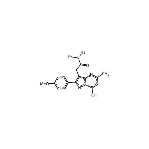 CCN(CC)C(=O)Cc1c(-c2ccc(O[11CH3])cc2)nn2c(C)cc(C)nc12